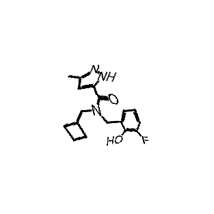 Cc1cc(C(=O)N(Cc2cccc(F)c2O)CC2CCC2)[nH]n1